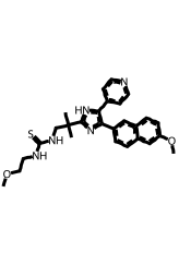 COCCNC(=S)NCC(C)(C)c1nc(-c2ccc3cc(OC)ccc3c2)c(-c2ccncc2)[nH]1